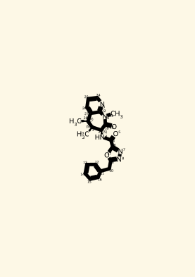 C[C@@H]1[C@H](NC(=O)c2nnc(Cc3ccccc3)o2)C(=O)N(C)c2ncccc2[C@@H]1C